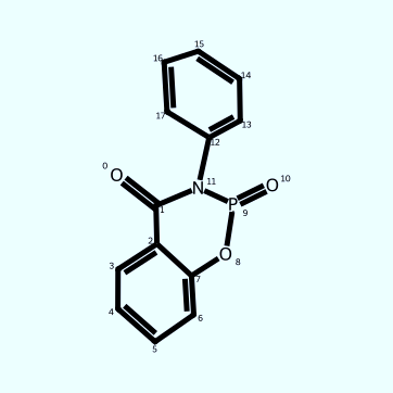 O=C1c2ccccc2O[P](=O)N1c1ccccc1